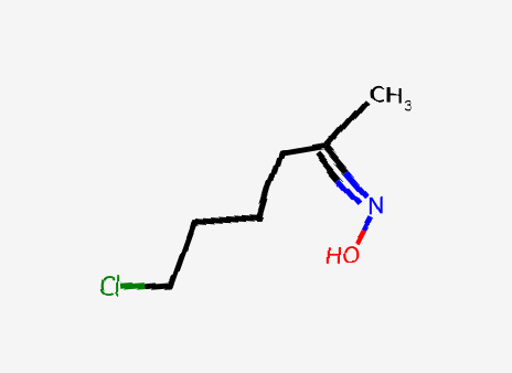 CC(CCCCCl)=NO